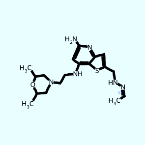 C/C=N\NCc1cc2nc(N)cc(NCCN3CC(C)OC(C)C3)c2s1